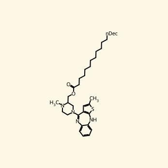 CCCCCCCCCCCCCCCCCCCCCC(=O)OCC1CN(C2=Nc3ccccc3Nc3sc(C)cc32)CCN1C